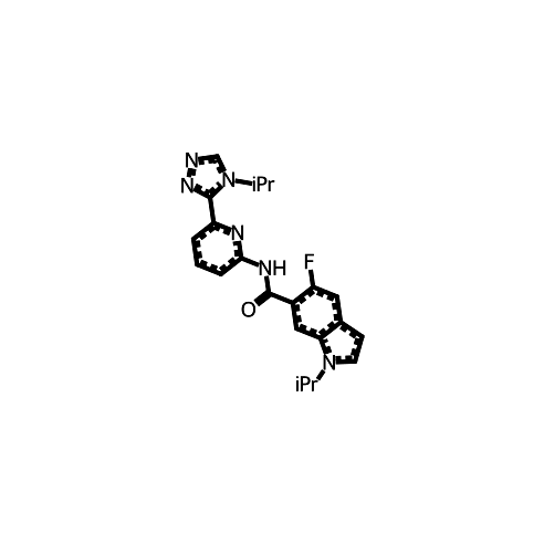 CC(C)n1cnnc1-c1cccc(NC(=O)c2cc3c(ccn3C(C)C)cc2F)n1